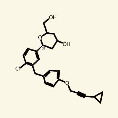 OCC1CC(O)C[C@@H](c2ccc(Cl)c(Cc3ccc(OCC#CC4CC4)cc3)c2)O1